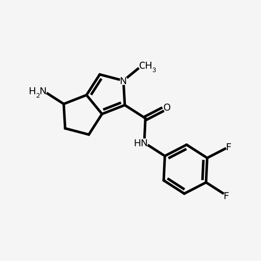 Cn1cc2c(c1C(=O)Nc1ccc(F)c(F)c1)CCC2N